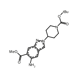 COC(=O)c1cc2nn(C3CCN(C(=O)OC(C)(C)C)CC3)cc2cc1N